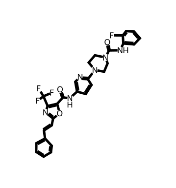 O=C(Nc1ccc(N2CCN(C(=O)Nc3ccccc3F)CC2)nc1)c1oc(C=Cc2ccccc2)nc1C(F)(F)F